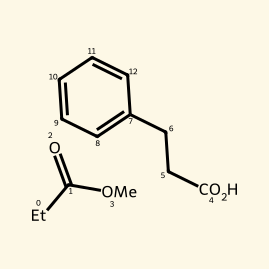 CCC(=O)OC.O=C(O)CCc1ccccc1